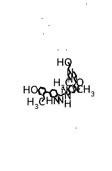 CCc1cc(O)ccc1C1=Cc2[nH]nc(-c3nc4c([nH]3)CN(C)[C@H](C(=O)N3CCN(CCO)C[C@H]3C)C4)c2CC1